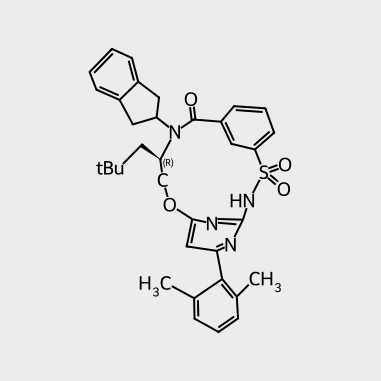 Cc1cccc(C)c1-c1cc2nc(n1)NS(=O)(=O)c1cccc(c1)C(=O)N(C1Cc3ccccc3C1)[C@H](CC(C)(C)C)CO2